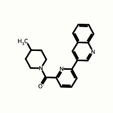 CC1CCN(C(=O)c2cccc(-c3cnc4ccccc4c3)n2)CC1